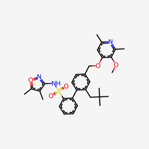 COc1c(OCc2ccc(-c3ccccc3S(=O)(=O)Nc3noc(C)c3C)c(CC(C)(C)C)c2)cc(C)nc1C